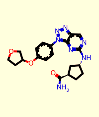 NC(=O)[C@@H]1CC[C@@H](Nc2ncc3nnn(-c4ccc(OC5CCOC5)cc4)c3n2)C1